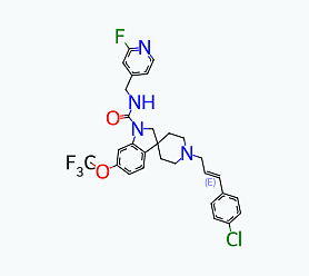 O=C(NCc1ccnc(F)c1)N1CC2(CCN(C/C=C/c3ccc(Cl)cc3)CC2)c2ccc(OC(F)(F)F)cc21